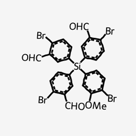 COc1cc([Si](c2ccc(Br)c(C=O)c2)(c2ccc(Br)c(C=O)c2)c2ccc(Br)c(C=O)c2)ccc1Br